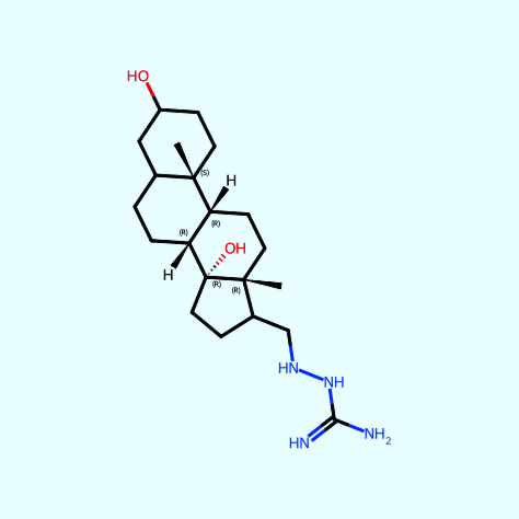 C[C@]12CCC(O)CC1CC[C@@H]1[C@H]2CC[C@]2(C)C(CNNC(=N)N)CC[C@@]12O